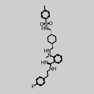 Cc1ccc(S(=O)(=O)NC[C@H]2CC[C@H](CNN(C)c3ccccc3C(=N)NCCc3ccc(F)cc3)CC2)cc1